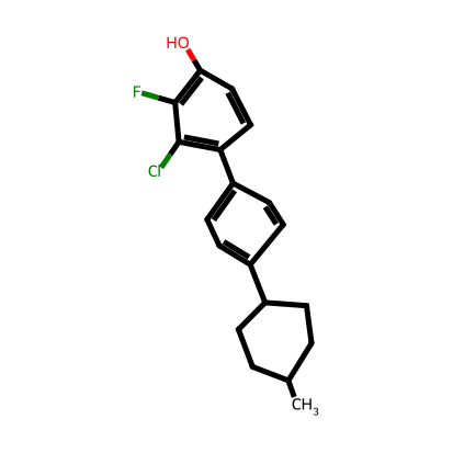 CC1CCC(c2ccc(-c3ccc(O)c(F)c3Cl)cc2)CC1